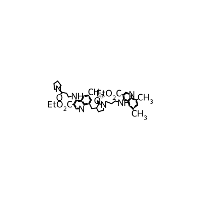 CCOC(=O)c1cnc2c(C)cc(C)cc2c1NCCCN1CCC(Cc2cc(C)cc3c(NCCC(=O)N4CCCC4)c(C(=O)OCC)cnc23)C1=O